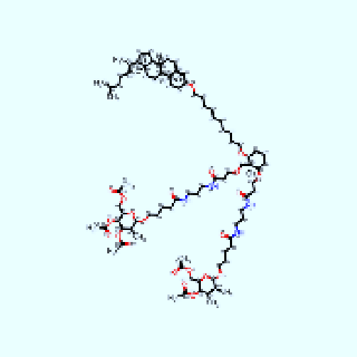 CC(=O)OCC1OC(OCCCCC(=O)NCCCNC(=O)CCOC2CCCC(OCCCCCCCCCCO[C@@H]3C=C4CC[C@H]5[C@@H]6CC[C@H]([C@H](C)CCCC(C)C)[C@@]6(C)CC[C@@H]5[C@@]4(C)CC3)[C@]2(C)COCCC(=O)NCCCNC(=O)CCCCOC2OC(COC(C)=O)C(OC(C)=O)C(OC(C)=O)C2C)C(C)C(C)C1OC(C)=O